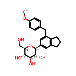 OC[C@H]1O[C@@H](c2cc3c(c(Cc4ccc(OC(F)(F)F)cc4)c2)CCC3)[C@H](O)[C@@H](O)[C@@H]1O